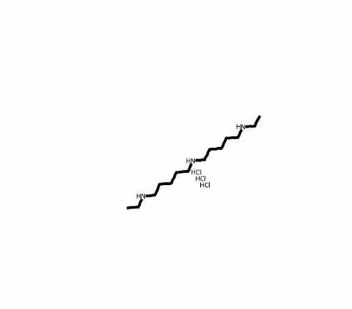 CCNCCCCCNCCCCCNCC.Cl.Cl.Cl